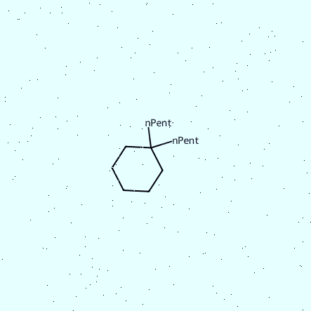 CCCC[CH]C1(CCCCC)CCCCC1